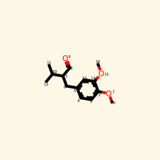 COc1ccc(CC(C=O)C(C)C)cc1OC